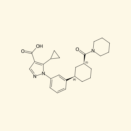 O=C(O)c1cnn(-c2cccc([C@@H]3CCC[C@H](C(=O)N4CCCCC4)C3)c2)c1C1CC1